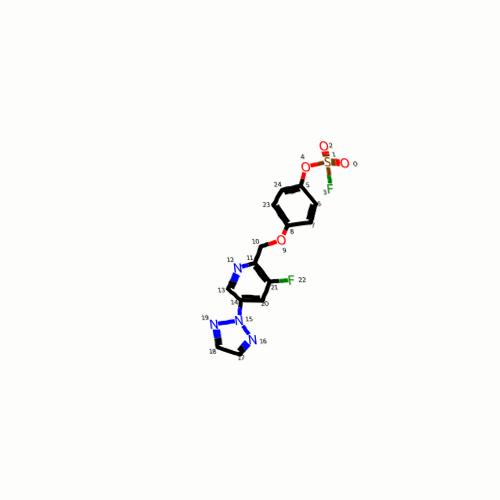 O=S(=O)(F)Oc1ccc(OCc2ncc(-n3nccn3)cc2F)cc1